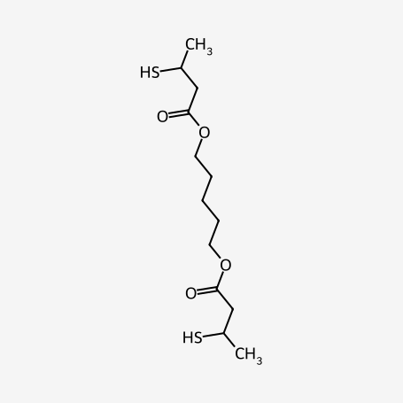 CC(S)CC(=O)OCCCCCOC(=O)CC(C)S